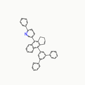 C1=Cc2c(c(-c3ccc(-c4ccccc4)nc3)c3ccccc3c2-c2cc(-c3ccccc3)cc(-c3ccccc3)c2)CC1